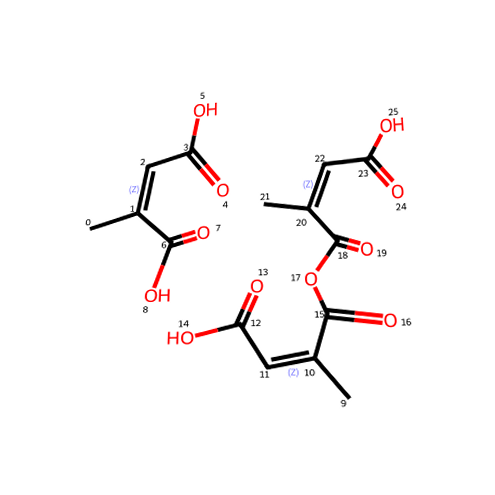 C/C(=C/C(=O)O)C(=O)O.C/C(=C/C(=O)O)C(=O)OC(=O)/C(C)=C\C(=O)O